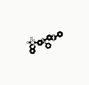 O=C(O)[C@@H]1Cc2ccccc2CN1C(=O)c1ccc2c(c1)nc(-c1ccc3nc(-c4ccccc4)cnc3c1)n2C1CCCCC1